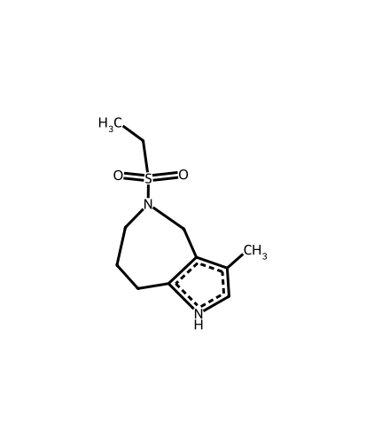 CCS(=O)(=O)N1CCCc2[nH]cc(C)c2C1